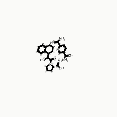 N=C(N)c1ccc(C(N)=O)cn1.O=C(O)[C@@H]1CCCN1C(=O)C(O)C1CCCc2ccccc21